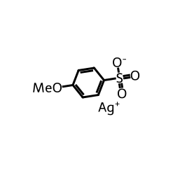 COc1ccc(S(=O)(=O)[O-])cc1.[Ag+]